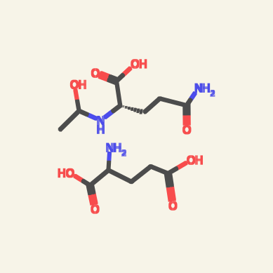 CC(O)N[C@@H](CCC(N)=O)C(=O)O.NC(CCC(=O)O)C(=O)O